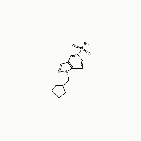 NS(=O)(=O)c1ccc2c(cnn2CC2CCCC2)c1